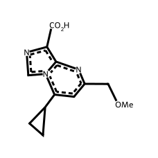 COCc1cc(C2CC2)n2cnc(C(=O)O)c2n1